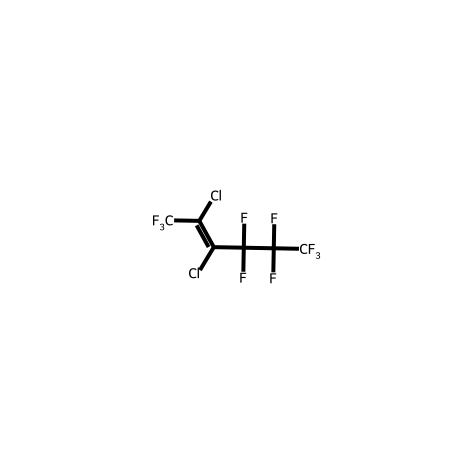 FC(F)(F)C(Cl)=C(Cl)C(F)(F)C(F)(F)C(F)(F)F